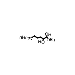 CCCCCCCCCCC(O)C(O)CCCC